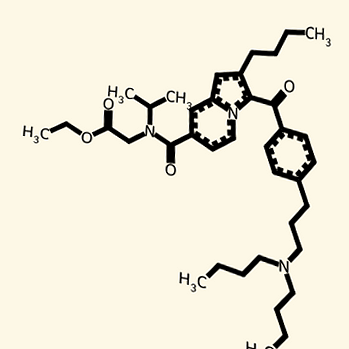 CCCCc1cc2cc(C(=O)N(CC(=O)OCC)C(C)C)ccn2c1C(=O)c1ccc(CCCN(CCCC)CCCC)cc1